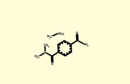 CCCCCCCCC.CN(C)C(=O)c1ccc(C(N)=O)cc1